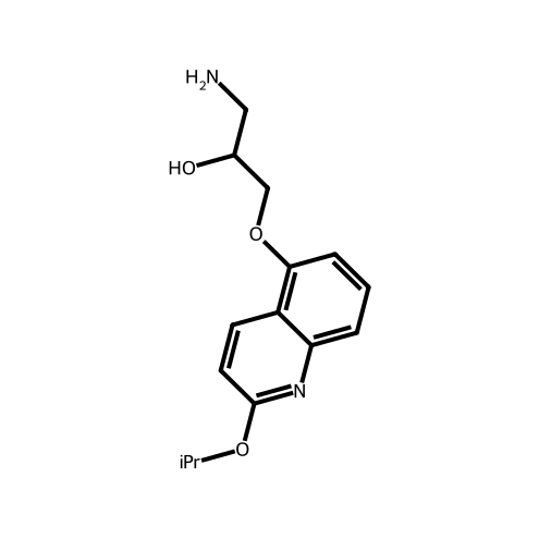 CC(C)Oc1ccc2c(OCC(O)CN)cccc2n1